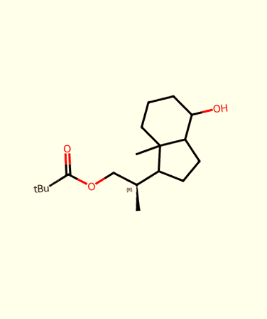 C[C@@H](COC(=O)C(C)(C)C)C1CCC2C(O)CCCC21C